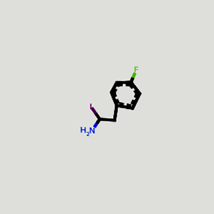 NC(I)Cc1ccc(F)cc1